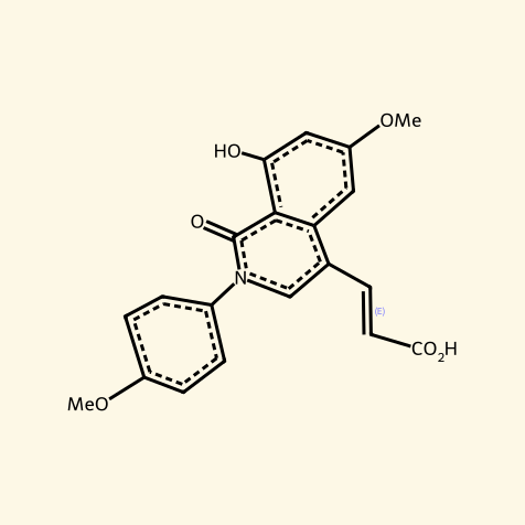 COc1ccc(-n2cc(/C=C/C(=O)O)c3cc(OC)cc(O)c3c2=O)cc1